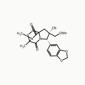 COC[C@]1(C#N)CC23SSC(C)(C(=O)N2[C@H]1c1ccc2c(c1)OCO2)N(C)C3=O